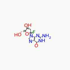 Nc1nc2c(ncn2[C@@]2(F)C[C@@H](O)[C@@H](CO)O2)c(=O)[nH]1